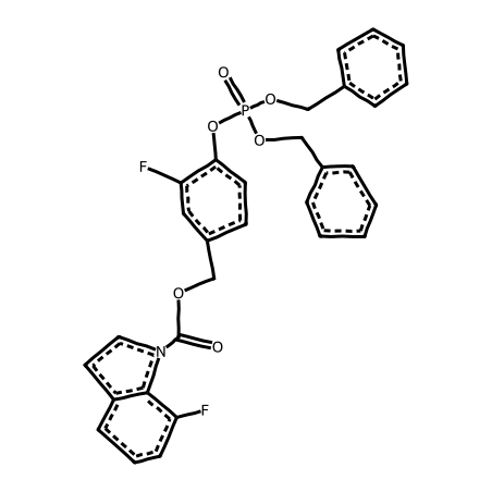 O=C(OCc1ccc(OP(=O)(OCc2ccccc2)OCc2ccccc2)c(F)c1)n1ccc2cccc(F)c21